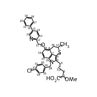 COC(CSCc1c2c3c(c(OCc4ccc(-c5ccccc5)cn4)ccc3n1Cc1ccc(Cl)cc1)CC(C)S2)C(=O)O